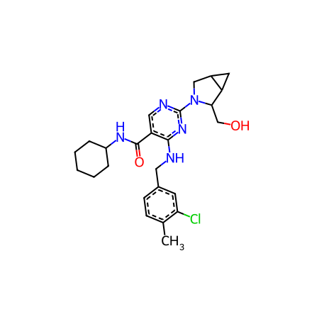 Cc1ccc(CNc2nc(N3CC4CC4C3CO)ncc2C(=O)NC2CCCCC2)cc1Cl